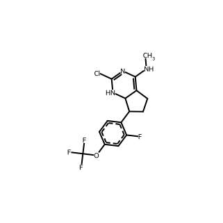 CNC1=C2CCC(c3ccc(OC(F)(F)F)cc3F)C2NC(Cl)=N1